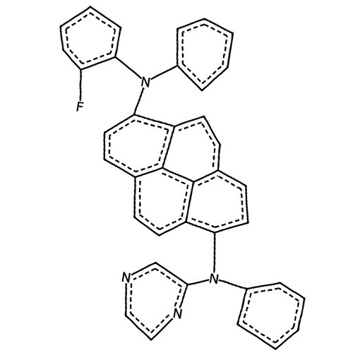 Fc1ccccc1N(c1ccccc1)c1ccc2ccc3c(N(c4ccccc4)c4cnccn4)ccc4ccc1c2c43